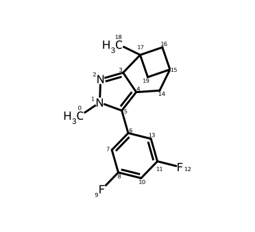 Cn1nc2c(c1-c1cc(F)cc(F)c1)CC1CC2(C)C1